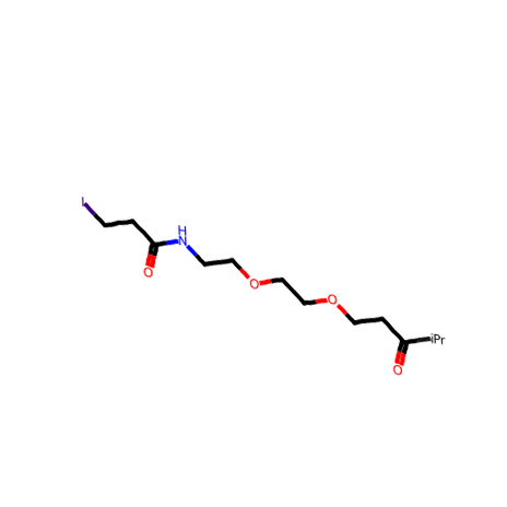 CC(C)C(=O)CCOCCOCCNC(=O)CCI